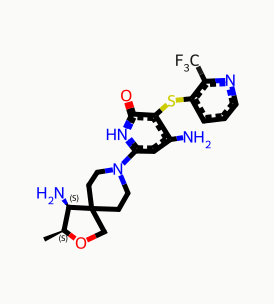 C[C@@H]1OCC2(CCN(c3cc(N)c(Sc4cccnc4C(F)(F)F)c(=O)[nH]3)CC2)[C@@H]1N